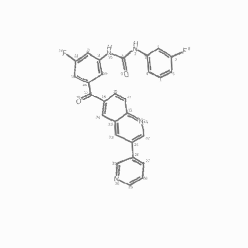 O=C(Nc1cccc(F)c1)Nc1cc(F)cc(C(=O)c2ccc3ncc(-c4cccnc4)cc3c2)c1